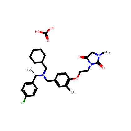 Cc1cc(CN(CC2CCCCC2)[C@@H](C)c2ccc(Cl)cc2)ccc1OCCN1C(=O)CN(C)C1=O.O=C(O)O